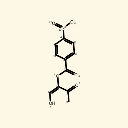 CC(=O)C(=CO)OC(=O)c1ccc([N+](=O)[O-])cc1